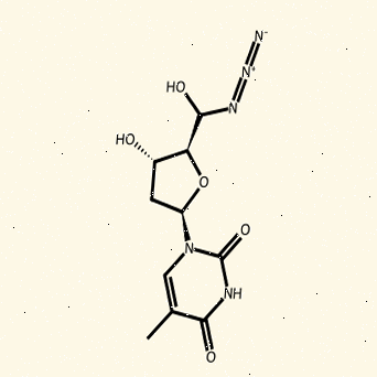 Cc1cn([C@H]2C[C@H](O)[C@@H](C(O)N=[N+]=[N-])O2)c(=O)[nH]c1=O